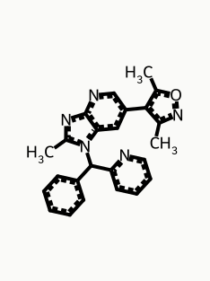 Cc1noc(C)c1-c1cnc2nc(C)n(C(c3ccccc3)c3ccccn3)c2c1